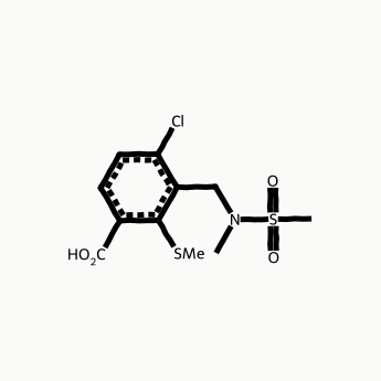 CSc1c(C(=O)O)ccc(Cl)c1CN(C)S(C)(=O)=O